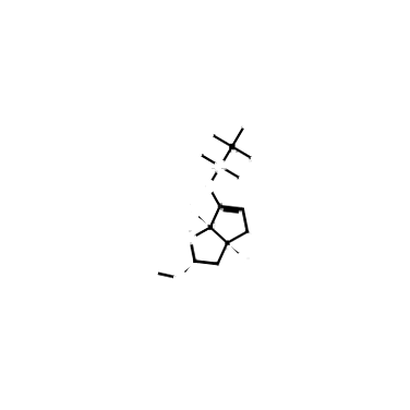 CO[C@@H]1C[C@@]2(O)CC=C(O[Si](C)(C)C(C)(C)C)[C@H]2O1